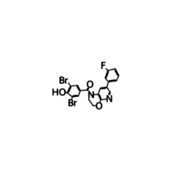 O=C(c1cc(Br)c(O)c(Br)c1)N1CCOc2ncc(-c3cccc(F)c3)cc21